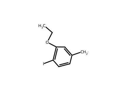 [CH2]c1ccc(I)c(OCC)c1